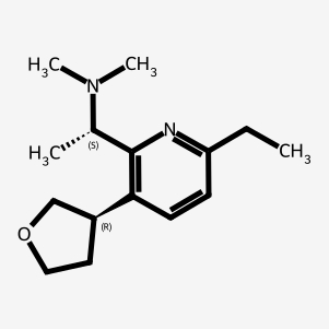 CCc1ccc([C@H]2CCOC2)c([C@H](C)N(C)C)n1